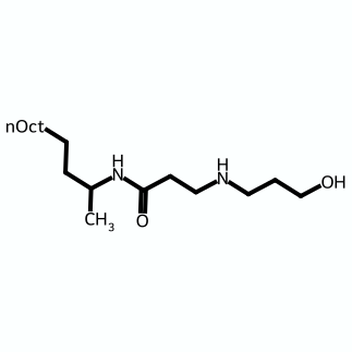 CCCCCCCCCCC(C)NC(=O)CCNCCCO